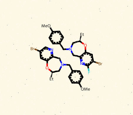 CC[C@@H]1CN(Cc2ccc(OC)cc2)Cc2nc(F)c(Br)cc2O1.CC[C@@H]1CN(Cc2ccc(OC)cc2)Cc2ncc(Br)cc2O1